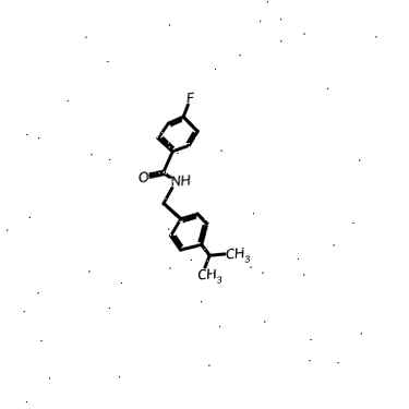 CC(C)c1ccc(CNC(=O)c2ccc(F)cc2)cc1